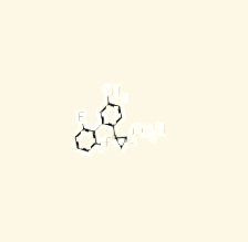 Cc1ccc([C@]2(F)C[C@H]2C(=O)O)c(-c2c(F)cccc2F)c1